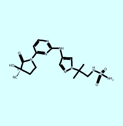 CC(C)(CNS(N)(=O)=O)n1cc(Nc2nccc(N3CC[C@](O)(C#N)C3=O)n2)cn1